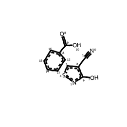 N#Cc1csnc1O.O=C(O)c1ccccc1